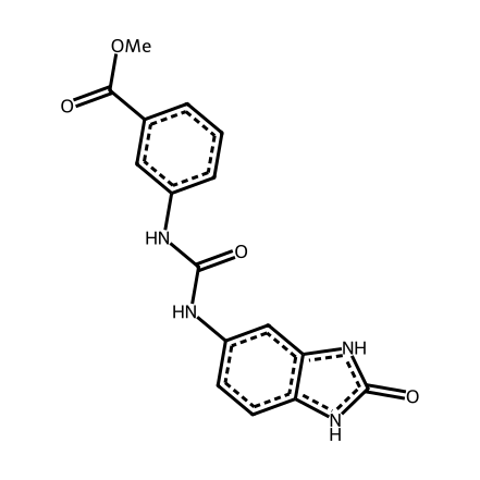 COC(=O)c1cccc(NC(=O)Nc2ccc3[nH]c(=O)[nH]c3c2)c1